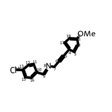 COc1ccc(C#CC/N=C/c2ccc(Cl)cc2)cc1